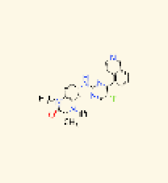 CC(C)N1c2cc(Nc3ncc(F)c(-c4cccc5cnccc45)n3)ccc2N(C)C(=O)C1C